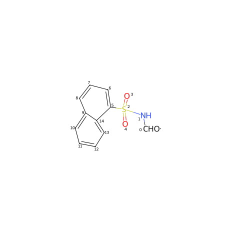 O=[C]NS(=O)(=O)c1cccc2ccccc12